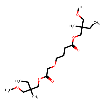 CCC(C)(COC)COC(=O)CCCOCC(=O)OCC(C)(CC)COC